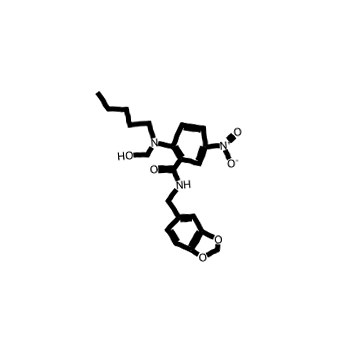 CCCCCN(CO)c1ccc([N+](=O)[O-])cc1C(=O)NCc1ccc2c(c1)OCO2